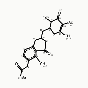 CCCCC(=O)Cc1ccc2c(c1C)C(=O)CC(CC1CC(C)=C(C(C)=O)C(=O)C1CC)C2